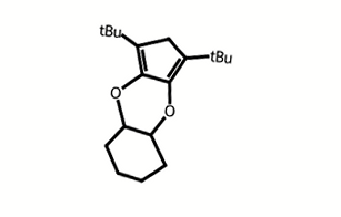 CC(C)(C)C1=C2OC3CCCCC3OC2=C(C(C)(C)C)C1